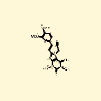 C#CCn1c(C=Cc2ccc(OC)c(OC)c2)nc2c1c(=O)n(CCC)c(=O)n2CCC